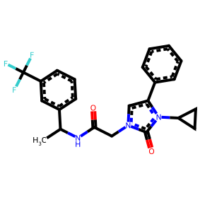 CC(NC(=O)Cn1cc(-c2ccccc2)n(C2CC2)c1=O)c1cccc(C(F)(F)F)c1